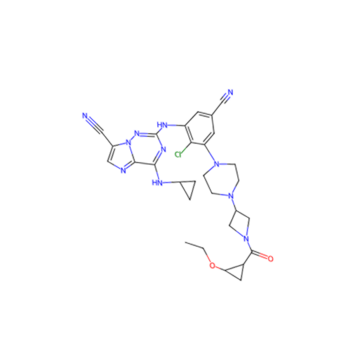 CCOC1CC1C(=O)N1CC(N2CCN(c3cc(C#N)cc(Nc4nc(NC5CC5)c5ncc(C#N)n5n4)c3Cl)CC2)C1